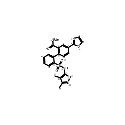 CNC(=O)c1cc(-c2ncco2)ccc1-c1ccccc1S(=O)(=O)Nc1onc(C)c1C